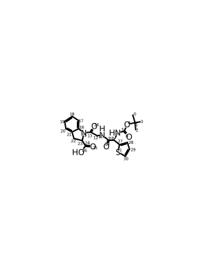 CC(C)(C)OC(=O)N[C@H](C(=O)NCC(=O)N1c2ccccc2CC1C(=O)O)c1cccs1